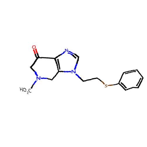 O=C1CN(C(=O)O)Cc2c1ncn2CCSc1ccccc1